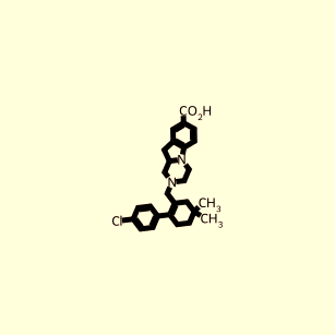 CC1(C)CCC(c2ccc(Cl)cc2)=C(CN2CCN3c4ccc(C(=O)O)cc4CC3C2)C1